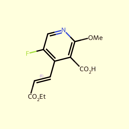 CCOC(=O)/C=C/c1c(F)cnc(OC)c1C(=O)O